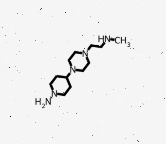 CNCCN1CCN(C2CCN(N)CC2)CC1